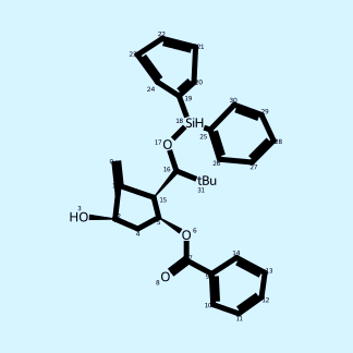 C=C1[C@H](O)C[C@H](OC(=O)c2ccccc2)[C@@H]1C(O[SiH](c1ccccc1)c1ccccc1)C(C)(C)C